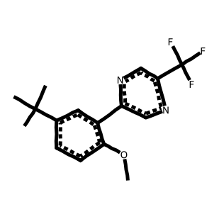 COc1ccc(C(C)(C)C)cc1-c1cnc(C(F)(F)F)cn1